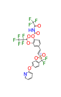 O=C(NC(=O)C(F)(F)F)Oc1ccc(/C=C/S(=O)(=O)C(F)(F)c2ccc(Oc3ccccn3)cc2)cc1OC(=O)C(F)(F)C(F)(F)F